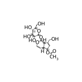 CC(=O)O[C@@H]1C=C(CO)[C@H]2[C@H](O[C@@H]3O[C@H](CO)[C@@H](O)[C@H](O)[C@H]3O)OC=C[C@H]21